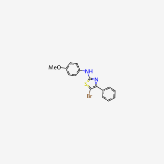 COc1ccc(Nc2nc(-c3ccccc3)c(Br)s2)cc1